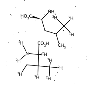 [2H]C([2H])([2H])C(C)C[C@H](N)C(=O)O.[2H]CC([2H])(C([2H])([2H])[2H])[C@@]([2H])(C(=O)O)N([2H])[2H]